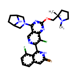 CN1CCC[C@@]1(C)COc1nc(N2CC3CCC(C2)N3)c2cnc(-c3[nH]c(=S)cc4cccc(F)c34)c(F)c2n1